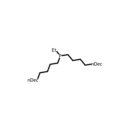 CCCCCCCCCCCCCCP(CC)CCCCCCCCCCCCCC